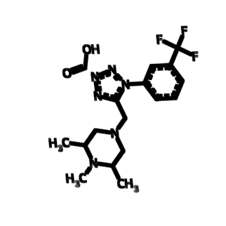 CC1CN(Cc2nnnn2-c2cccc(C(F)(F)F)c2)CC(C)N1C.O=CO